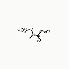 CCCC(C)C(=O)N(C)CC(=O)O